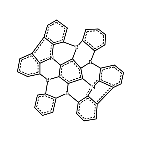 c1ccc2c(c1)B1c3c4c5c6c7c3-n3c8c1cccc8c1cccc(c13)B7c1ccccc1B6c1cccc3c6cccc(c6n-5c13)B24